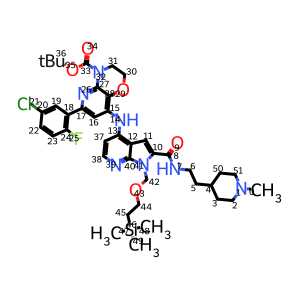 CN1CCC(CCNC(=O)c2cc3c(Nc4cc(-c5cc(Cl)ccc5F)nc5c4OCCN5C(=O)OC(C)(C)C)ccnc3n2COCC[Si](C)(C)C)CC1